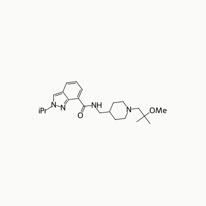 COC(C)(C)CN1CCC(CNC(=O)c2cccc3cn(C(C)C)nc23)CC1